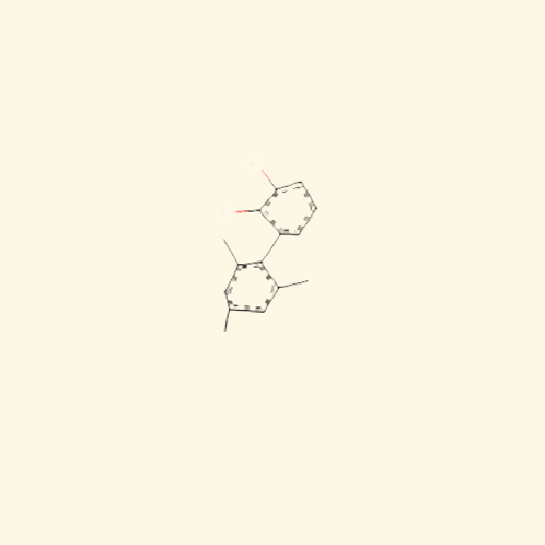 Cc1cc(C)c(-c2cccc(O)c2O)c(C)c1